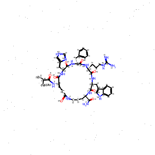 CCCC[C@H](NC(C)=O)C(=O)N[C@H]1CCC(=O)NCCCC(C(N)=O)NC(=O)[C@H](Cc2c[nH]c3ccccc23)NC(=O)[C@H](CCCNC(=N)N)NC(=O)[C@@H](Cc2ccccc2)NC(=O)[C@H](Cc2c[nH]cn2)NC1=O